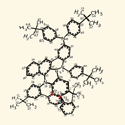 CC(C)(C)c1ccc(N2B3c4cc5c(cc4N(c4ccc(C(C)(C)C)cc4-c4ccccc4)c4c3c(cc3ccccc43)-c3cc(N(c4ccc(C(C)(C)C)cc4)c4ccc(C(C)(C)C)cc4)ccc32)-c2ccccc2C5(C)C)cc1